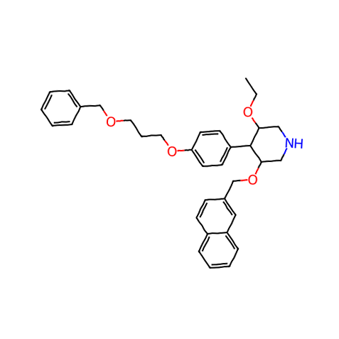 CCOC1CNCC(OCc2ccc3ccccc3c2)C1c1ccc(OCCCOCc2ccccc2)cc1